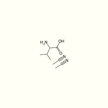 CC#N.CC#N.CC(C)C(N)C(=O)O